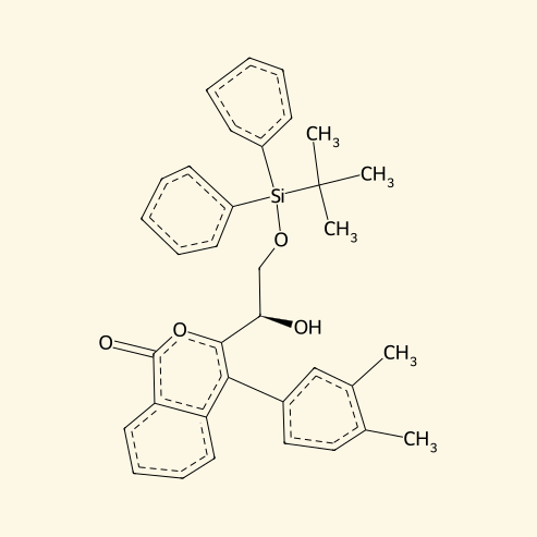 Cc1ccc(-c2c([C@H](O)CO[Si](c3ccccc3)(c3ccccc3)C(C)(C)C)oc(=O)c3ccccc23)cc1C